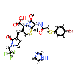 O=C(CSc1ccc(Br)cc1)N[C@@H]1C(=O)N2C(C(=O)O)=C(C=C3CCN(CC(F)(F)F)C3=O)CS[C@H]12.c1c[nH]cn1